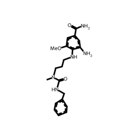 COc1cc(C(N)=O)cc(N)c1NCCCN(C)C(=O)NCc1ccccc1